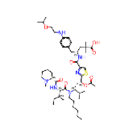 CCCCCCN(C(=O)[C@@H](NC(=O)[C@H]1CCCCN1C)[C@@H](C)CC)[C@H](C[C@@H](OC(C)=O)c1nc(C(=O)N[C@@H](Cc2ccc(NCCOC(C)C)cc2)CC(C)(C)C(=O)O)cs1)C(C)C